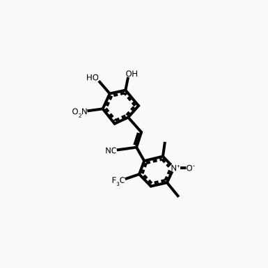 Cc1cc(C(F)(F)F)c(/C(C#N)=C/c2cc(O)c(O)c([N+](=O)[O-])c2)c(C)[n+]1[O-]